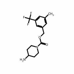 Cc1cc(COC(=O)N2CCC(N)CC2)cc(C(F)(F)F)c1